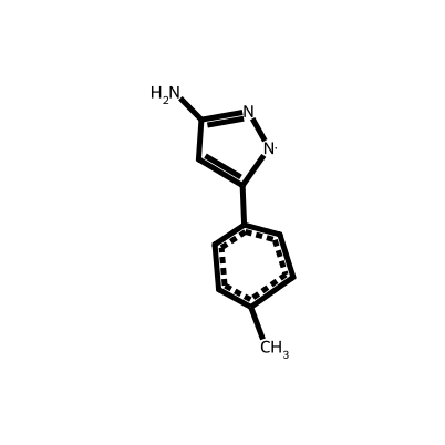 Cc1ccc(C2=CC(N)=N[N]2)cc1